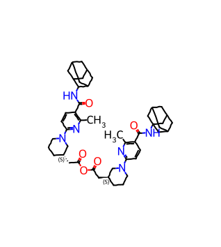 Cc1nc(N2CCC[C@@H](CC(=O)OC(=O)C[C@@H]3CCCN(c4ccc(C(=O)NC56CC7CC(CC(C7)C5)C6)c(C)n4)C3)C2)ccc1C(=O)NC1C2CC3CC(C2)CC1C3